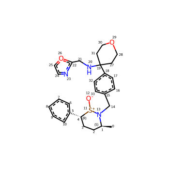 C[C@H]1CC[C@H](c2ccccc2)[S+]([O-])N1Cc1ccc(C2(NCc3ncco3)CCOCC2)cc1